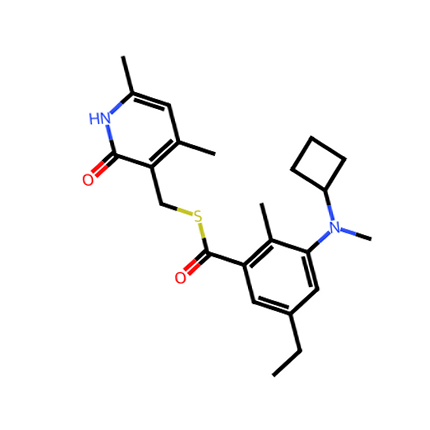 CCc1cc(C(=O)SCc2c(C)cc(C)[nH]c2=O)c(C)c(N(C)C2CCC2)c1